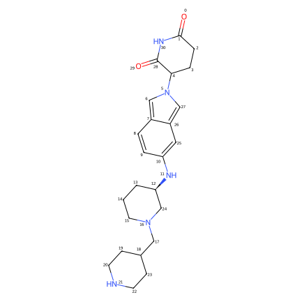 O=C1CCC(n2cc3ccc(N[C@@H]4CCCN(CC5CCNCC5)C4)cc3c2)C(=O)N1